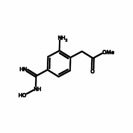 COC(=O)Cc1ccc(C(=N)NO)cc1N